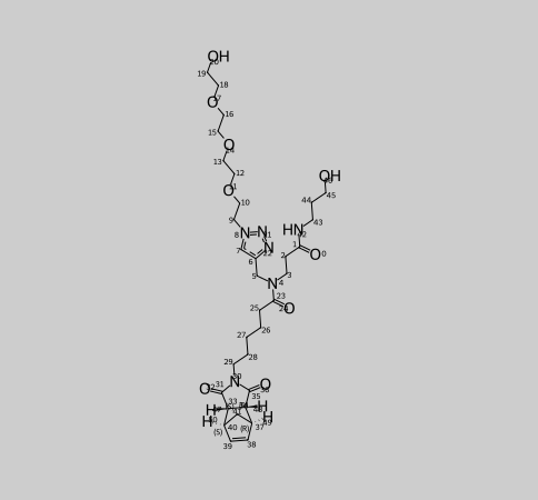 O=C(CCN(Cc1cn(CCOCCOCCOCCO)nn1)C(=O)CCCCCN1C(=O)[C@@H]2[C@H](C1=O)[C@H]1C=C[C@@H]2C1)NCCCO